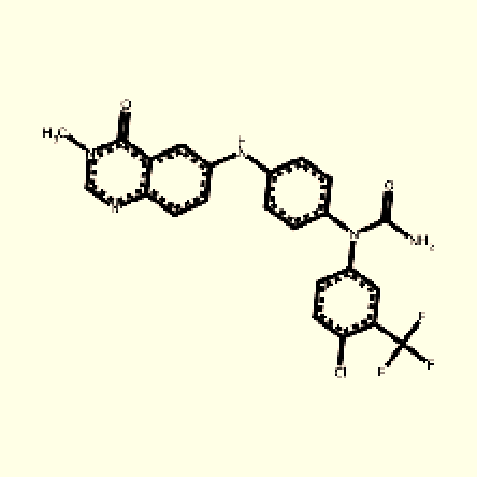 Cn1cnc2ccc(Nc3ccc(N(C(N)=O)c4ccc(Cl)c(C(F)(F)F)c4)cc3)cc2c1=O